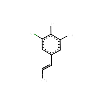 Cc1cc(/C=C/C#N)cc(Cl)c1C(C)C